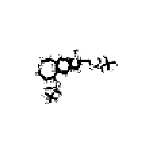 Cn1c(CO[Si](C)(C)C(C)(C)C)cc2cc3c(cc21)/C=C\CCCC3O[Si](C)(C)C(C)(C)C